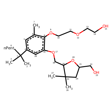 CCCCCC(C)(C)c1cc(C)c(OCCOCCO)c(OCC2OC(CO)CC2(C)C)c1